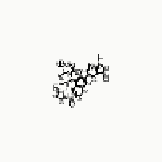 CC(C)(C)OC(=O)N1CCOCC1c1cc(-c2cnc3[nH]cc(Cl)c3c2)cc2c1CN(C(=O)N1CCC(F)C1)CC2